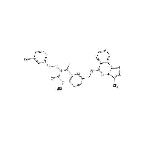 CC(c1cccc(COc2nn3c(C(F)(F)F)nnc3c3ccccc23)n1)N(CCc1cccc(Br)c1)C(=O)OC(C)(C)C